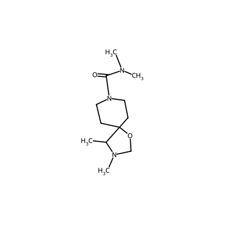 CC1N(C)COC12CCN(C(=O)N(C)C)CC2